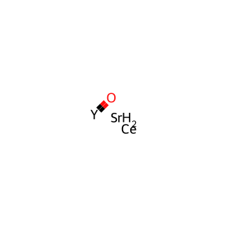 [Ce].[O]=[Y].[SrH2]